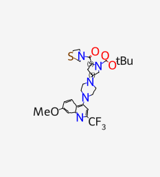 COc1ccc2c(N3CCN([C@H]4C[C@@H](C(=O)N5CCSC5)N(C(=O)OC(C)(C)C)C4)CC3)cc(C(F)(F)F)nc2c1